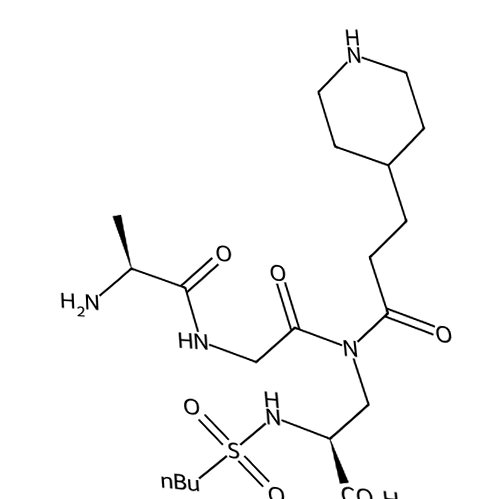 CCCCS(=O)(=O)N[C@@H](CN(C(=O)CCC1CCNCC1)C(=O)CNC(=O)[C@H](C)N)C(=O)O